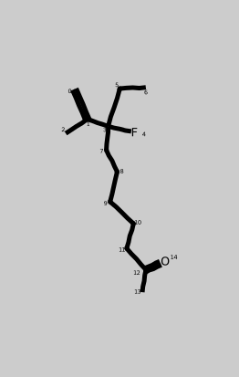 C=C(C)C(F)(CC)CCCCCC(C)=O